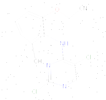 Cc1cccc(OCC#N)c1Nc1nc(Cl)ncc1Cl